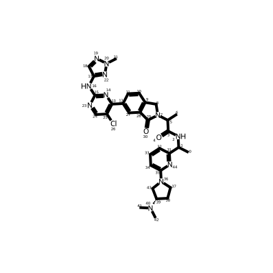 CC(NC(=O)C(C)N1Cc2ccc(-c3nc(Nc4cnn(C)n4)ncc3Cl)cc2C1=O)c1cccc(N2CC[C@H](N(C)C)C2)n1